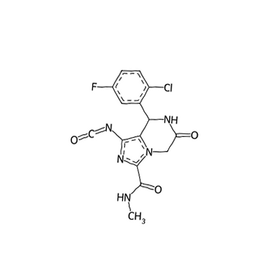 CNC(=O)c1nc(N=C=O)c2n1CC(=O)NC2c1cc(F)ccc1Cl